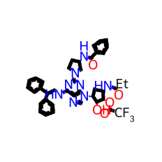 CCC(=O)N[C@H]1C[C@@H](n2cnc3c(NCC(c4ccccc4)c4ccccc4)nc(N4CC[C@@H](NC(=O)c5ccccc5)C4)nc32)[C@H](O)[C@@H]1OC(=O)C(F)(F)F